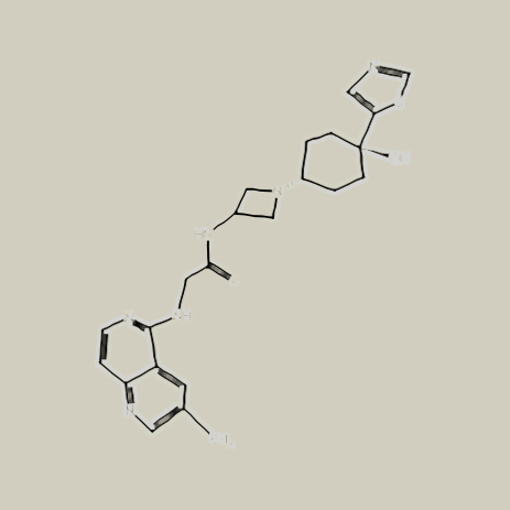 Cc1cnc2ccnc(NCC(=O)NC3CN([C@H]4CC[C@@](O)(c5cncs5)CC4)C3)c2c1